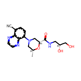 C[C@@H]1CN(c2ccc(C#N)c3nccnc23)C[C@H](C(=O)NC[C@@H](O)CO)O1